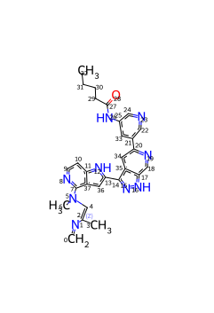 C=N/C(C)=C\N(C)c1nccc2[nH]c(-c3n[nH]c4cnc(-c5cncc(NC(=O)CCCC)c5)cc34)cc12